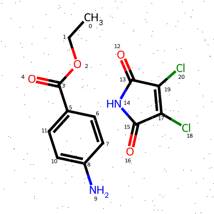 CCOC(=O)c1ccc(N)cc1.O=C1NC(=O)C(Cl)=C1Cl